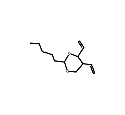 C=CC1COC(CCCCC)OC1C=C